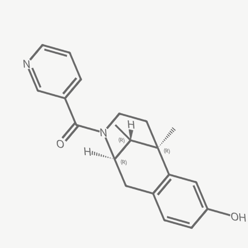 C[C@H]1[C@H]2Cc3ccc(O)cc3[C@]1(C)CCN2C(=O)c1cccnc1